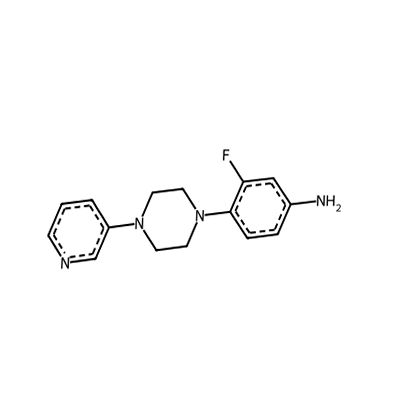 Nc1ccc(N2CCN(c3cccnc3)CC2)c(F)c1